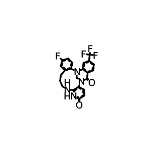 O=C1c2ccc(C(F)(F)F)cc2N2CN1c1ccc(=O)[nH]c1NCCCc1cc(F)ccc12